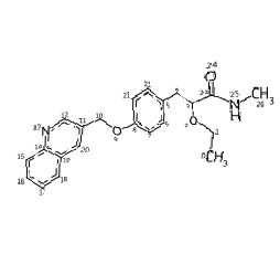 CCOC(Cc1ccc(OCc2cnc3ccccc3c2)cc1)C(=O)NC